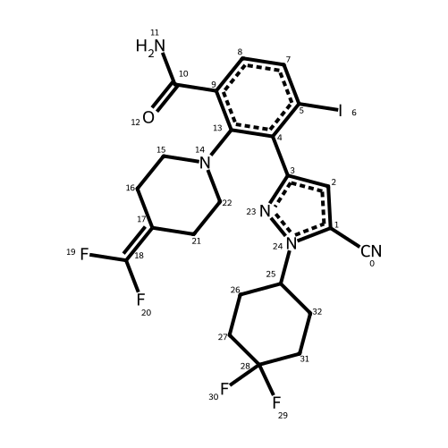 N#Cc1cc(-c2c(I)ccc(C(N)=O)c2N2CCC(=C(F)F)CC2)nn1C1CCC(F)(F)CC1